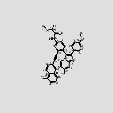 CN[C@@H](C)C(=O)Nc1ccc(-c2c(-c3ccc(OC)nc3)nc3cc(C)ccn23)c(C#Cc2ccc3c(C)cccc3c2)n1